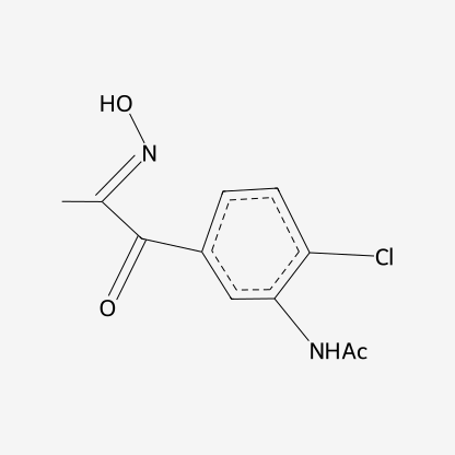 CC(=O)Nc1cc(C(=O)C(C)=NO)ccc1Cl